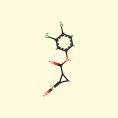 O=C=C1CC1C(=O)Oc1ccc(Cl)c(Cl)c1